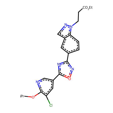 CCOC(=O)CCn1ncc2cc(-c3noc(-c4cnc(OC(C)C)c(Cl)c4)n3)ccc21